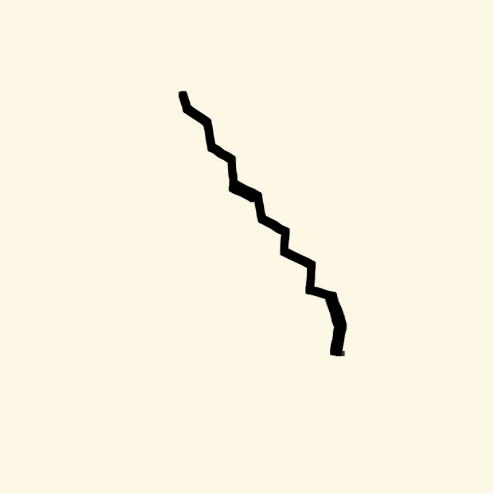 [CH]=C=CCCCCCC=CCCCCC